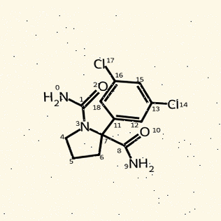 NC(=O)N1CCCC1(C(N)=O)c1cc(Cl)cc(Cl)c1